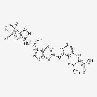 CC1Cc2c(ncnc2Oc2ccc3c(ccn3C(=O)Nc3cc(C4(C(F)(F)F)CC4)on3)c2)CN1C(=O)O